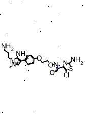 C[n+]1cc(-c2ccc(OCCO/N=C(\C=O)c3nc(N)sc3Cl)cc2)c(N)n1CCCN